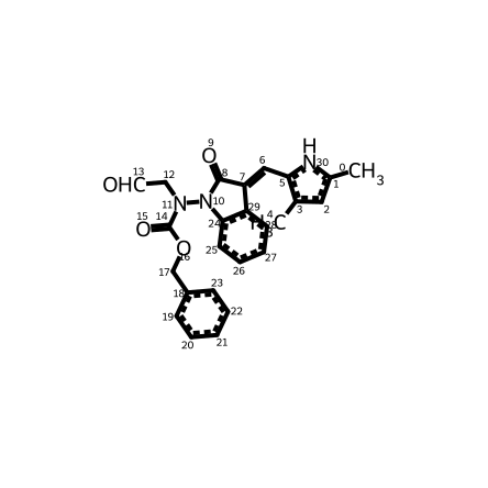 Cc1cc(C)c(C=C2C(=O)N(N(CC=O)C(=O)OCc3ccccc3)c3ccccc32)[nH]1